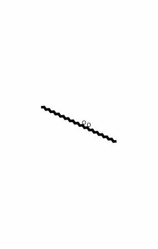 CCCCCCCCCCCCCCCCCC(=O)CC(=O)CCCCCCCCCCCC